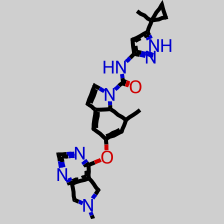 CC1C=C(Oc2ncnc3c2CN(C)C3)C=C2C=CN(C(=O)Nc3cc(C4(C)CC4)[nH]n3)C21